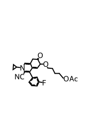 CC(=O)OCCCCCOC1C=C2C(=CN(C3CC3)C(C#N)=C2c2cccc(F)c2)CC1=O